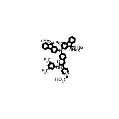 CCCCCCC1(CCCCC)c2ccccc2-c2ccc(N(c3ccc(/C=C(\C(=O)Nc4cc(C(F)(F)F)cc(C(F)(F)F)c4)c4cc[n+](CC(=O)O)cc4)cc3)c3ccc4c(c3)C(CCCCCC)(CCCCCC)c3ccccc3-4)cc21